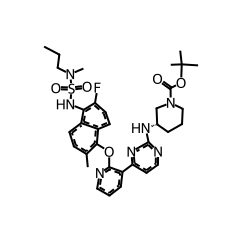 CCCN(C)S(=O)(=O)Nc1c(F)ccc2c(Oc3ncccc3-c3ccnc(N[C@H]4CCCN(C(=O)OC(C)(C)C)C4)n3)c(C)ccc12